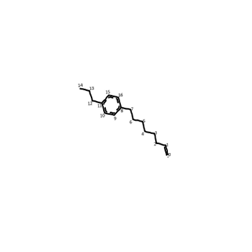 [CH]=CCCCCCCc1ccc(CCC)cc1